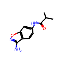 CC(C)C(=O)Nc1ccc2c(N)noc2c1